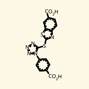 O=C(O)c1ccc(-n2nnnc2Sc2nc3ccc(C(=O)O)cc3s2)cc1